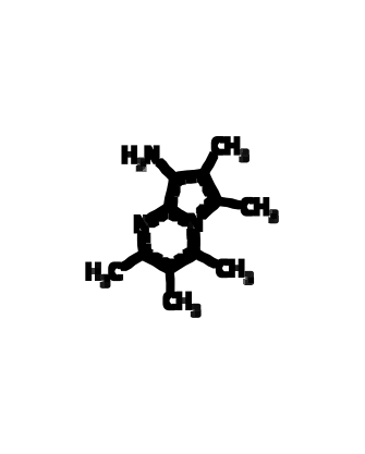 Cc1nc2c(N)c(C)c(C)n2c(C)c1C